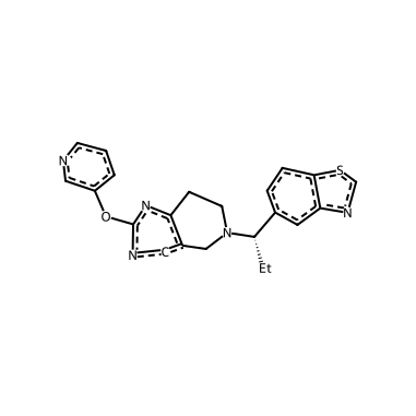 CC[C@@H](c1ccc2scnc2c1)N1CCc2nc(Oc3cccnc3)ncc2C1